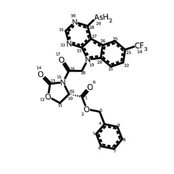 O=C(OCc1ccccc1)[C@@H]1COC(=O)N1C(=O)Cn1c2ccc(C(F)(F)F)cc2c2c([AsH2])ncnc21